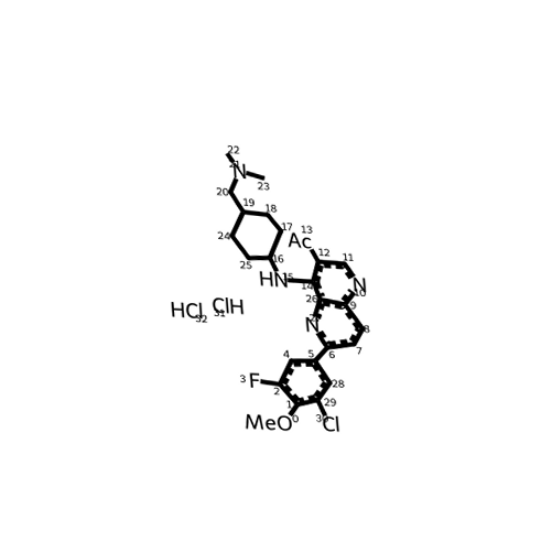 COc1c(F)cc(-c2ccc3ncc(C(C)=O)c(NC4CCC(CN(C)C)CC4)c3n2)cc1Cl.Cl.Cl